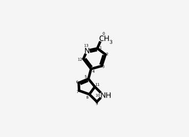 Cc1ccc(C2=CCC3CNC23)cn1